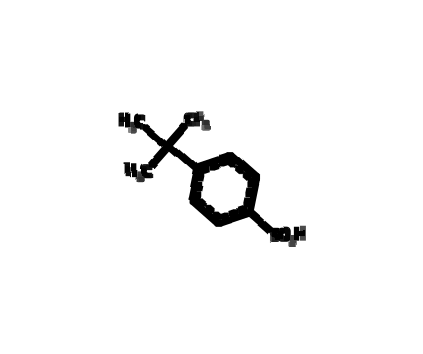 CC(C)(c1ccc(S(=O)(=O)O)cc1)C(F)(F)F